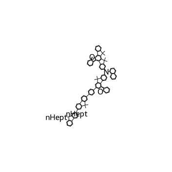 CCCCCCCC1(CCCCCCC)c2ccccc2-c2ccc(-c3ccc4c(c3)C(C)(C)c3cc(-c5ccc(-c6cc7c(c8c6oc6ccccc68)-c6ccc(N(c8ccc9c(c8)C(C)(C)c8c%10c(c%11oc%12ccccc%12c%11c8-9)-c8ccccc8C%10(C)C)c8cccc9ccccc89)cc6C7(C)C)cc5)ccc3-4)cc21